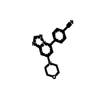 N#Cc1ccc(-c2cc(N3CCOCC3)cc3ncnn23)cc1